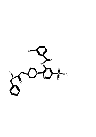 CCN(Cc1ccccc1)C(=O)CC1CCN(c2ncc(S(C)(=O)=O)cc2NC(=O)c2cccc(Cl)c2)CC1